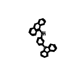 c1cc(Nc2c3ccccc3cc3ccccc23)cc(-n2c3ccccc3c3ccccc32)c1